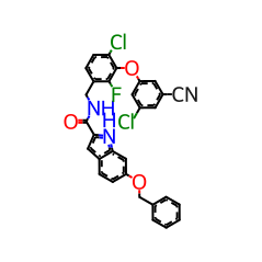 N#Cc1cc(Cl)cc(Oc2c(Cl)ccc(CNC(=O)c3cc4ccc(OCc5ccccc5)cc4[nH]3)c2F)c1